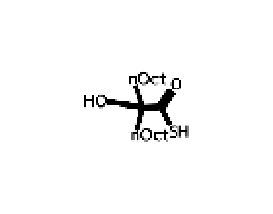 CCCCCCCCC(O)(CCCCCCCC)C(=O)S